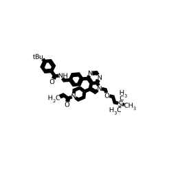 C=CC(=O)N1CCC(c2cn(COCC[Si](C)(C)C)c3ncnc(-c4ccc(CNC(=O)c5ccc(C(C)(C)C)cc5)cc4)c23)CC1